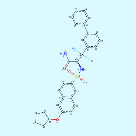 NC(=O)[C@H](NS(=O)(=O)c1ccc2cc(OC3CCCC3)ccc2c1)C(F)(F)c1cccc(-c2ccccc2)c1